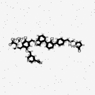 CN(Cc1cc(Cl)c(Cn2ncc3c(-c4cccc(-c5ccc(CNC[C@@H]6CCC(=O)N6)cc5)c4Cl)cccc32)cc1OCc1cncc(C#N)c1)[C@@H](CO)C(=O)O